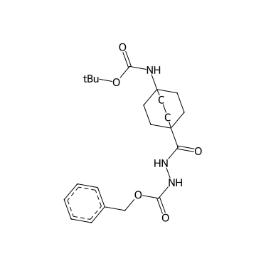 CC(C)(C)OC(=O)NC12CCC(C(=O)NNC(=O)OCc3ccccc3)(CC1)CC2